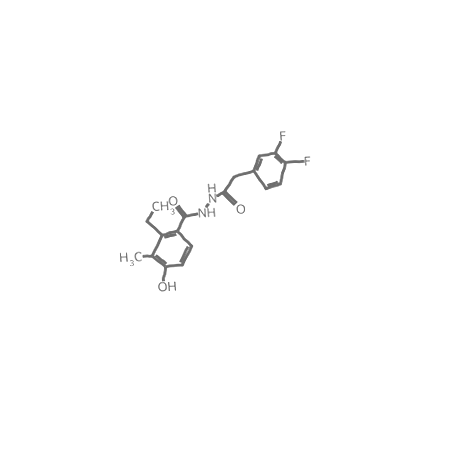 CCc1c(C(=O)NNC(=O)Cc2ccc(F)c(F)c2)ccc(O)c1C